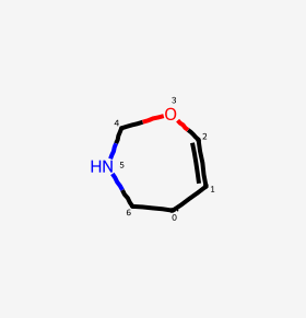 [CH]1C=COCNC1